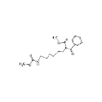 COC(=O)NCCCCCCN(C(=O)OC)C(=O)c1ccccc1